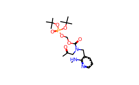 CNc1ncccc1CN(CC(C)=O)C(=O)OCOP(=O)(OC(C)(C)C)OC(C)(C)C